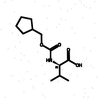 CC(C)[C@H](NC(=O)OCC1CCCC1)C(=O)O